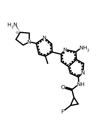 Cc1cc(N2CC[C@H](N)C2)ncc1-c1cc2cc(NC(=O)C3CC3F)ncc2c(N)n1